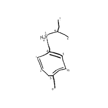 Cc1ccc([SiH2]C(C)C)cc1